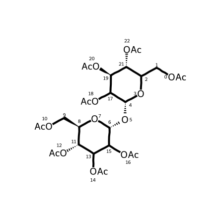 CC(=O)OCC1O[C@H](O[C@H]2O[C@H](COC(C)=O)[C@@H](OC(C)=O)C(OC(C)=O)C2OC(C)=O)C(OC(C)=O)[C@@H](OC(C)=O)[C@@H]1OC(C)=O